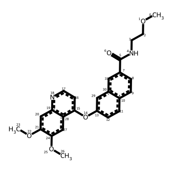 COCCNC(=O)c1ccc2ccc(Oc3ccnc4cc(OC)c(OC)cc34)cc2c1